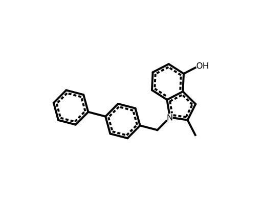 Cc1cc2c(O)cccc2n1Cc1ccc(-c2ccccc2)cc1